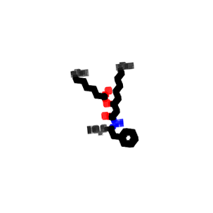 CCCCCCCCCCCCCCCC(=O)OC(CCCCCCCCCCCCCCC)CC(=O)N[C@@H](Cc1ccccc1)C(=O)O